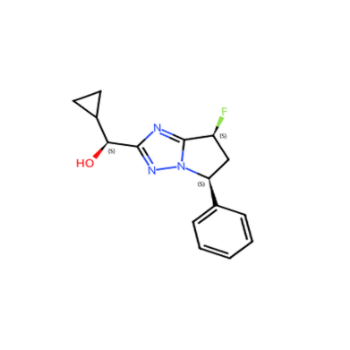 O[C@H](c1nc2n(n1)[C@H](c1ccccc1)C[C@@H]2F)C1CC1